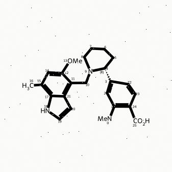 CNc1cc([C@H]2CCCCN2Cc2c(OC)cc(C)c3[nH]ccc23)ccc1C(=O)O